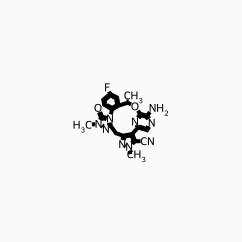 C[C@H]1Oc2nc(cnc2N)-c2c(nn(C)c2C#N)Cc2nn(C)c(=O)n2-c2ccc(F)cc21